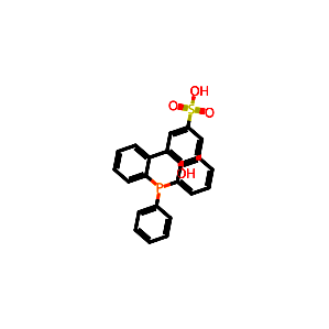 O=S(=O)(O)c1ccc(O)c(-c2ccccc2P(c2ccccc2)c2ccccc2)c1